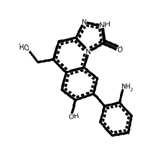 Nc1ccccc1-c1cc2c(cc1O)c(CO)cc1n[nH]c(=O)n12